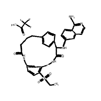 CCS(=O)(=O)c1ccc2cc1CNC(=O)C(Nc1ccc3c(N)nccc3c1)c1ccc(cc1)CCCC(=O)N2.O=C(O)C(F)(F)F